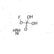 O=P(O)(O)OF.[NaH].[Ni]